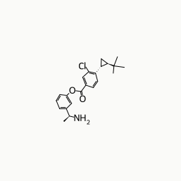 C[C@H](N)c1cccc(OC(=O)c2ccc([C@@H]3C[C@H]3C(C)(C)C)c(Cl)c2)c1